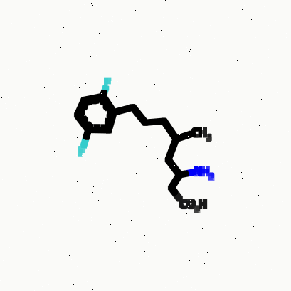 CC(CCCc1cc(F)ccc1F)CC(N)CC(=O)O